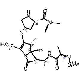 CO/N=C(/C)C(=O)N[C@H](C)[C@H]1C(=O)N2C(C(=O)O)=C(S[C@@H]3CN[C@H](C(=O)N(C)C)C3)[C@H](C)[C@H]12